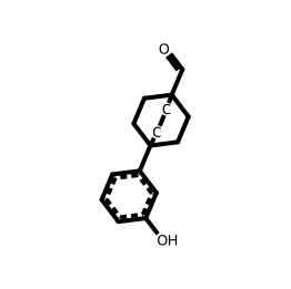 O=CC12CCC(c3cccc(O)c3)(CC1)CC2